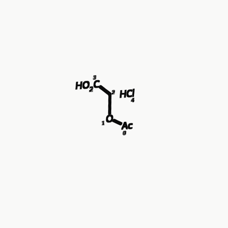 CC(=O)OCC(=O)O.Cl